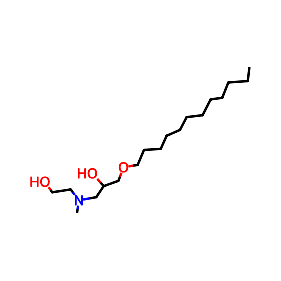 CCCCCCCCCCCCOCC(O)CN(C)CCO